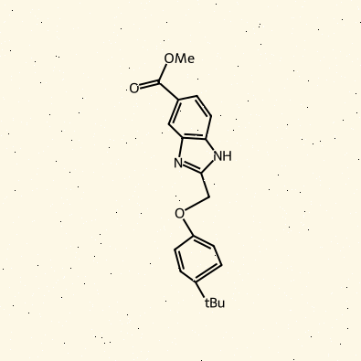 COC(=O)c1ccc2[nH]c(COc3ccc(C(C)(C)C)cc3)nc2c1